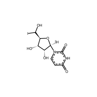 [2H][C@@]1(n2ccc(=O)[nH]c2=O)O[C@H](C(O)I)[C@@H](O)[C@H]1O